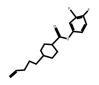 C=CCCCC1CCC(C(=O)Oc2ccc(F)c(F)c2)CC1